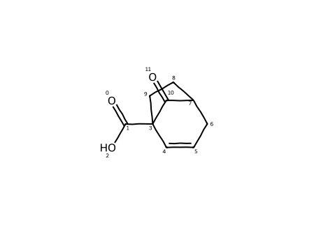 O=C(O)C12C=CCC(CC1)C2=O